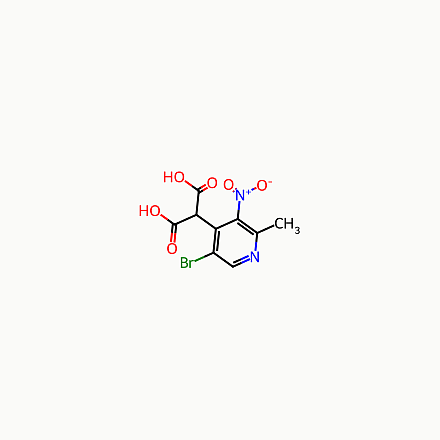 Cc1ncc(Br)c(C(C(=O)O)C(=O)O)c1[N+](=O)[O-]